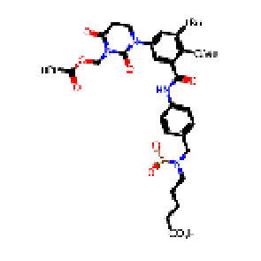 CCCC(=O)OCN1C(=O)CCN(c2cc(C(=O)Nc3ccc(CN(CCCCC(=O)O)[SH](=O)=O)cc3)c(OC)c(C(C)(C)C)c2)C1=O